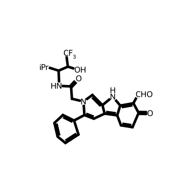 CC(C)C(NC(=O)Cn1cc2[nH]c3c(C=O)c(=O)ccc3c2cc1-c1ccccc1)C(O)C(F)(F)F